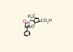 COc1cc(C(=O)O)cc(C)c1CN1CC(c2ccccc2)CC1=O